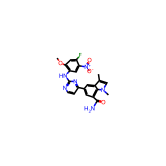 COc1cc(F)c([N+](=O)[O-])cc1Nc1nccc(-c2cc(C(N)=O)c3c(c2)c(C)cn3C)n1